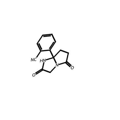 N#Cc1ccccc1C12CCC(=O)N1CC(=O)N2